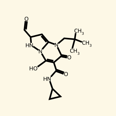 CC(C)(C)CN1C(=O)C(C(=O)NC2CC2)=C(O)N2NC(C=O)C=C12